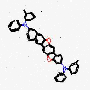 Cc1cccc(N(c2ccccc2)c2ccc3cc4c(cc3c2)oc2cc3c(cc24)oc2cc(N(c4ccccc4)c4cccc(C)c4)ccc23)c1